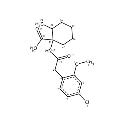 COc1cc(Cl)ccc1CC(=O)NC1(C(=O)O)CCCCC1C